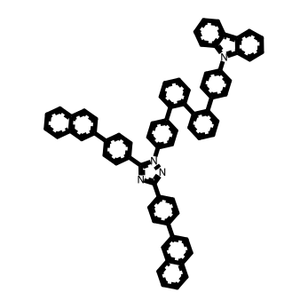 c1ccc(-c2ccccc2-c2ccc(-n3c4ccccc4c4ccccc43)cc2)c(-c2ccc(-n3nc(-c4ccc(-c5ccc6ccccc6c5)cc4)nc3-c3ccc(-c4ccc5ccccc5c4)cc3)cc2)c1